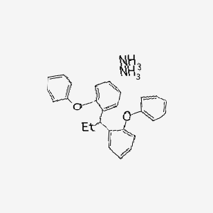 CCC(c1ccccc1Oc1ccccc1)c1ccccc1Oc1ccccc1.N.N